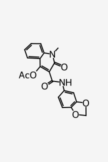 CC(=O)Oc1c(C(=O)Nc2ccc3c(c2)OCO3)c(=O)n(C)c2ccccc12